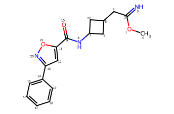 COC(=N)CC1CC(NC(=O)c2cc(-c3ccccc3)no2)C1